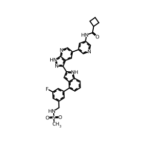 CS(=O)(=O)NCc1cc(F)cc(-c2cccc3[nH]c(-c4n[nH]c5ncc(-c6cncc(NC(=O)C7CCC7)c6)cc45)cc23)c1